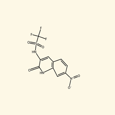 O=c1[nH]c2cc([N+](=O)[O-])ccc2cc1NS(=O)(=O)C(F)(F)F